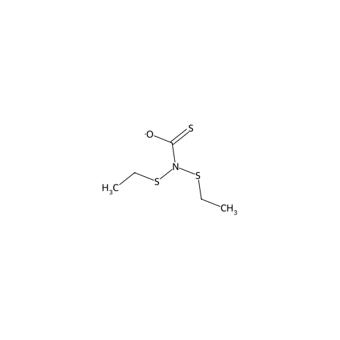 CCSN(SCC)C([O])=S